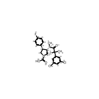 CN(C(=O)C(C)(C)c1cc(Cl)cc(Cl)c1)[C@@H]1CN(C(=O)O)C[C@H]1c1ccc(F)cc1